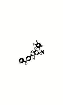 CC(C)(C)OC(=O)C[C@H](NC(=O)C1CCN(C(=O)c2cccnc2)CC1)C(=O)COc1c(F)c(F)cc(F)c1F